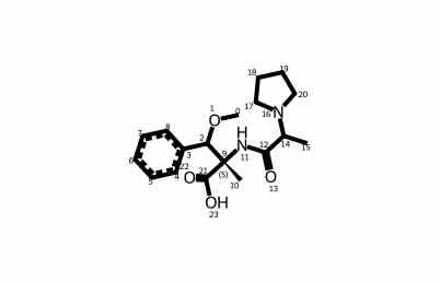 COC(c1ccccc1)[C@](C)(NC(=O)C(C)N1CCCC1)C(=O)O